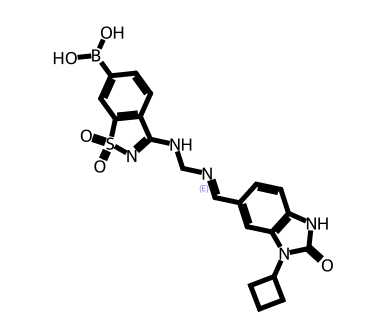 O=c1[nH]c2ccc(/C=N/CNC3=NS(=O)(=O)c4cc(B(O)O)ccc43)cc2n1C1CCC1